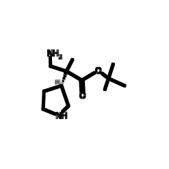 CC(C)(C)OC(=O)C(C)(CN)[C@H]1CCNC1